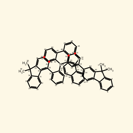 CC1(C)c2ccccc2-c2ccc(-c3cccc(N(c4ccccc4-c4cccc5c4-c4ccccc4C5(C)C)c4ccccc4-c4cccc5oc6c7ccccc7ccc6c45)c3)cc21